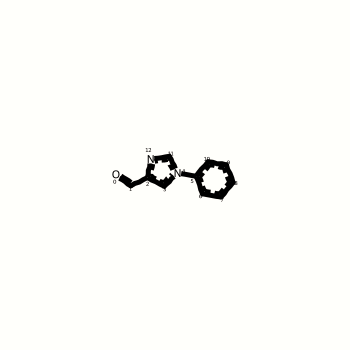 O=Cc1cn(-c2ccccc2)cn1